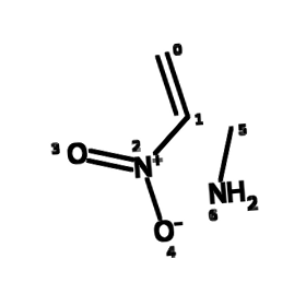 C=C[N+](=O)[O-].CN